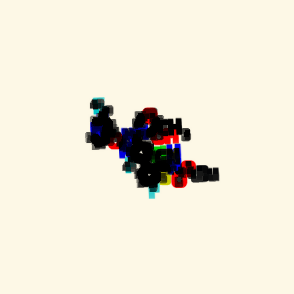 CC(C)(C)OC(=O)Nc1sc2c(F)ccc(-c3c(Cl)cc4c(N5CCOC[C@@](C)(O)C5)nc(OCC56CCCN5C/C(=C\F)C6)nc4c3F)c2c1C#N